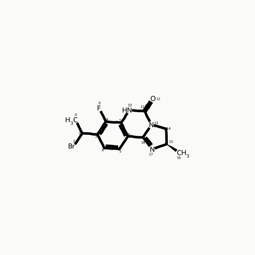 CC(Br)c1ccc2c(c1F)NC(=O)N1C[C@@H](C)N=C21